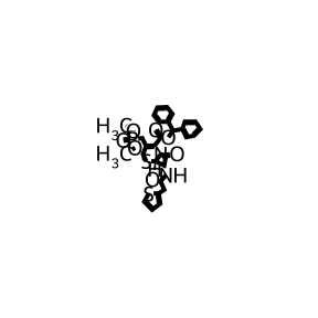 COP(=O)(CC1=C(C(=O)OC(c2ccccc2)c2ccccc2)N2C(=O)[C@@H](NC(=O)Cc3cccs3)[C@@H]2SC1)OC